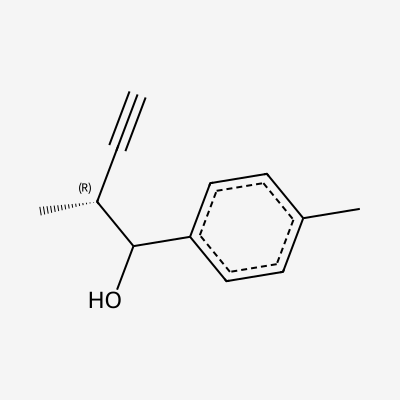 C#C[C@@H](C)C(O)c1ccc(C)cc1